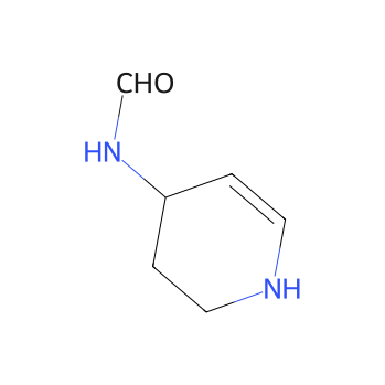 O=CNC1C=CNCC1